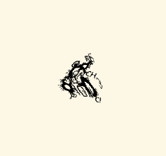 CC(Nc1ccc(Cl)nc1C(=O)O)c1cc(C(F)(F)F)cc2c(=O)cc(N3Cc4ccc(F)cc4C3)oc12